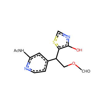 CC(=O)Nc1cc(C(COC=O)c2scnc2O)ccn1